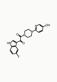 O=C(C(=O)N1CCN(c2ccc(O)cn2)CC1)c1c[nH]c2ccc(F)cc12